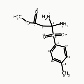 COC(=O)CC(N)(N)S(=O)(=O)c1ccc(C)cc1